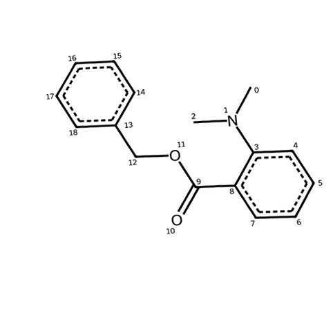 CN(C)c1ccccc1C(=O)OCc1ccccc1